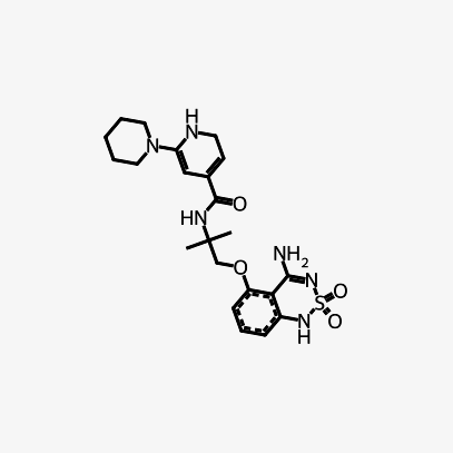 CC(C)(COc1cccc2c1C(N)=NS(=O)(=O)N2)NC(=O)C1=CCNC(N2CCCCC2)=C1